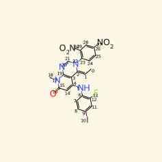 CC=C1c2c(Nc3ccc(I)cc3F)cc(=O)n(C)c2N=CN1c1ccc([N+](=O)[O-])cc1[N+](=O)[O-]